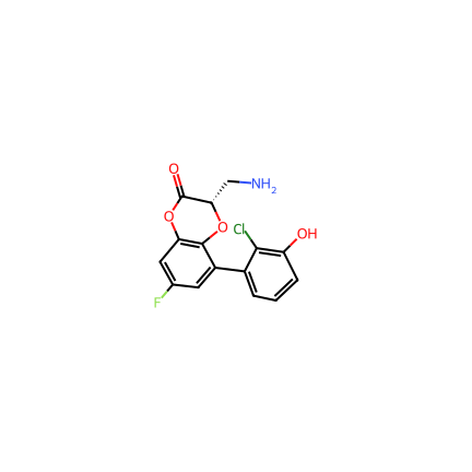 NC[C@@H]1Oc2c(cc(F)cc2-c2cccc(O)c2Cl)OC1=O